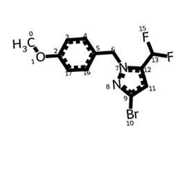 COc1ccc(Cn2nc(Br)cc2C(F)F)cc1